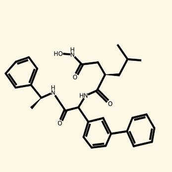 CC(C)C[C@H](CC(=O)NO)C(=O)NC(C(=O)N[C@@H](C)c1ccccc1)c1cccc(-c2ccccc2)c1